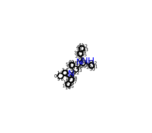 C1=Cc2ccc3c(c2CC1)c1c2ccccc2ccc1n3C1CC=C(C2=CC(c3ccccc3)NC(c3ccc4ccccc4c3)=N2)c2ccccc21